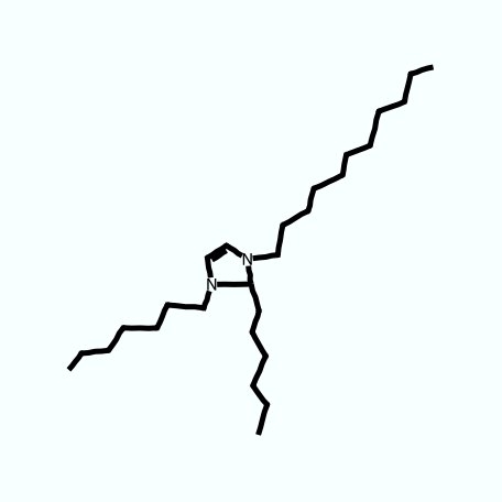 CCCCCCCCCCCN1C=CN(CCCCCCC)C1CCCCCC